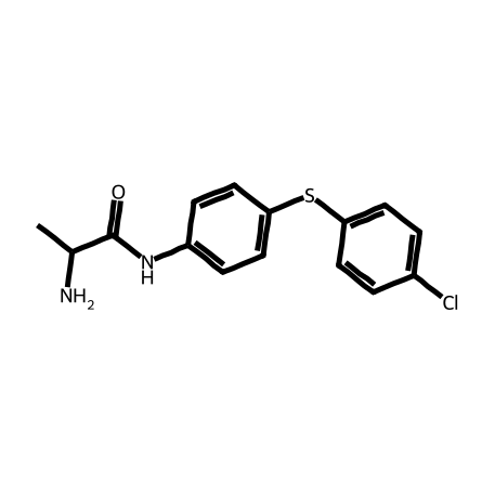 CC(N)C(=O)Nc1ccc(Sc2ccc(Cl)cc2)cc1